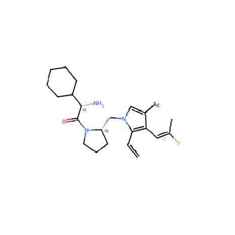 C=Cc1c(/C=C(\C)F)c(C(C)=O)cn1C[C@@H]1CCCN1C(=O)[C@@H](N)C1CCCCC1